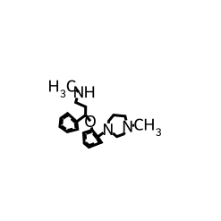 CNCCC(Oc1ccccc1N1CCCN(C)CC1)c1ccccc1